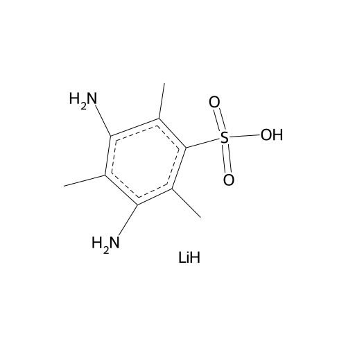 Cc1c(N)c(C)c(S(=O)(=O)O)c(C)c1N.[LiH]